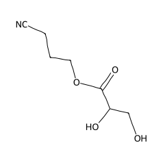 N#CCCCOC(=O)C(O)CO